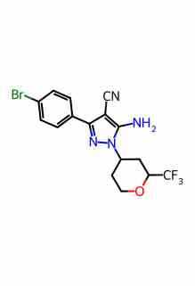 N#Cc1c(-c2ccc(Br)cc2)nn(C2CCOC(C(F)(F)F)C2)c1N